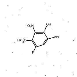 CCCc1cc(F)c(C(=O)O)c([N+](=O)[O-])c1O